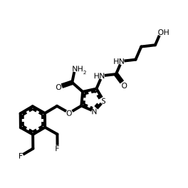 NC(=O)c1c(OCc2cccc(CF)c2CF)nsc1NC(=O)NCCCO